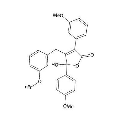 CCCOc1cccc(CC2=C(c3cccc(OC)c3)C(=O)OC2(O)c2ccc(OC)cc2)c1